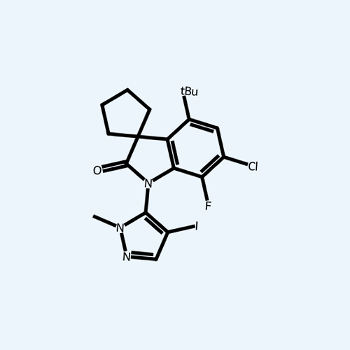 Cn1ncc(I)c1N1C(=O)C2(CCCC2)c2c(C(C)(C)C)cc(Cl)c(F)c21